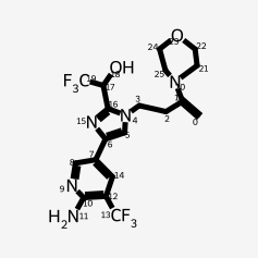 C=C(CCn1cc(-c2cnc(N)c(C(F)(F)F)c2)nc1C(O)C(F)(F)F)N1CCOCC1